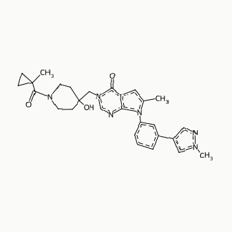 Cc1cc2c(=O)n(CC3(O)CCN(C(=O)C4(C)CC4)CC3)cnc2n1-c1cccc(-c2cnn(C)c2)c1